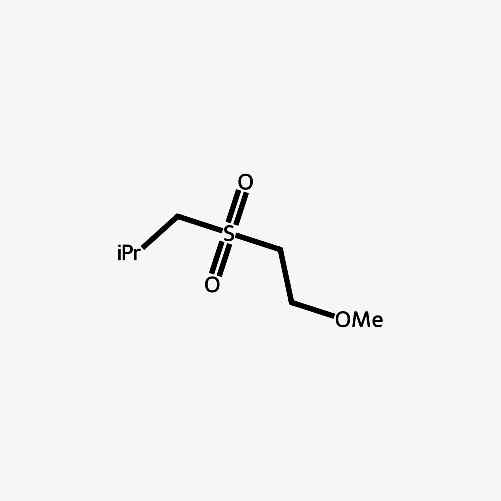 COCCS(=O)(=O)CC(C)C